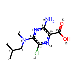 CC(C)CN(C)c1nc(N)c(C(=O)O)nc1Cl